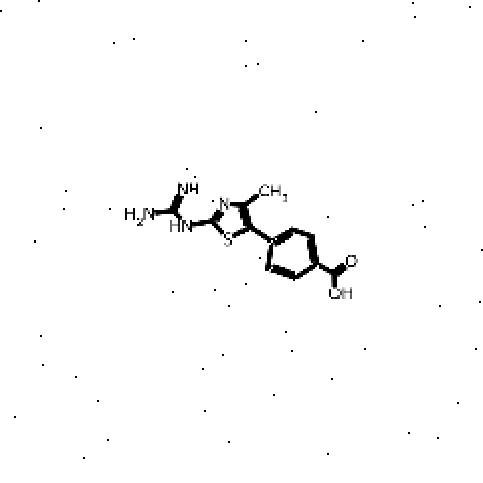 Cc1nc(NC(=N)N)sc1-c1ccc(C(=O)O)cc1